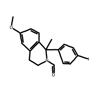 COc1ccc2c(c1)CCN(C=O)C2(C)c1ccc(I)cc1